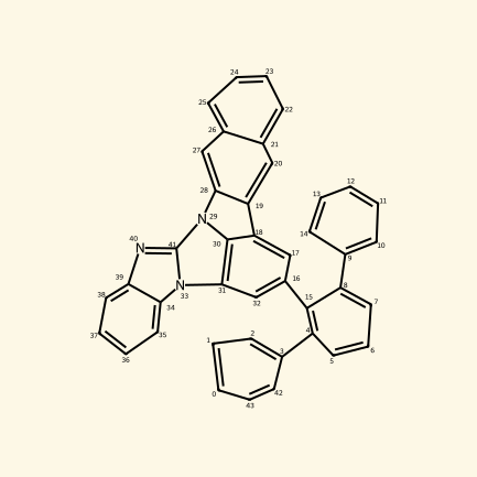 c1ccc(-c2cccc(-c3ccccc3)c2-c2cc3c4cc5ccccc5cc4n4c3c(c2)n2c3ccccc3nc24)cc1